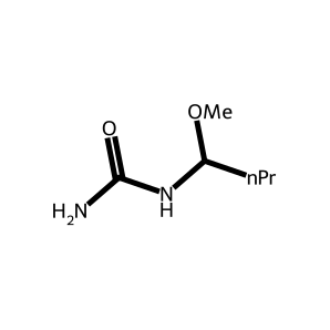 CCCC(NC(N)=O)OC